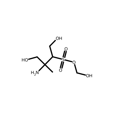 CC(N)(CO)C(CO)S(=O)(=O)OCO